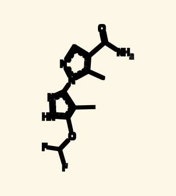 Cc1c(-n2ncc(C(N)=O)c2C)n[nH]c1OC(F)F